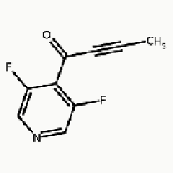 CC#CC(=O)c1c(F)cncc1F